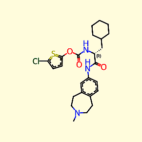 CN1CCc2ccc(NC(=O)[C@@H](CC3CCCCC3)NC(=O)Oc3ccc(Cl)s3)cc2CC1